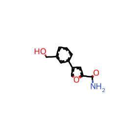 NC(=O)c1cc(-c2cccc(CO)c2)co1